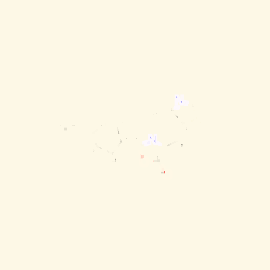 CCCc1ccc(C2=NC(=Cc3scnc3C)C(=O)O2)cc1